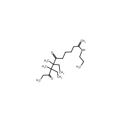 C=C(CCCCC(=O)C(C)(CC)C(C)(CC)C(=O)CC)NCCC